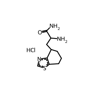 Cl.NC(=O)C(N)CC1CCCc2scnc21